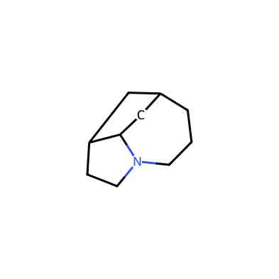 C1CC2CC3CCN(C1)C3C2